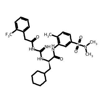 Cc1ccc(S(=O)(=O)N(C)C)cc1NC(=O)[C@@H](CC1CCCCC1)NC(=N)NC(=O)Cc1ccccc1C(F)(F)F